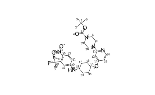 CC(C)(C)OC(=O)N1CCN(c2cc(O[C@H]3CC[C@H](Nc4ccc([N+](=O)[O-])c(C(F)(F)F)c4)CC3)ccn2)CC1